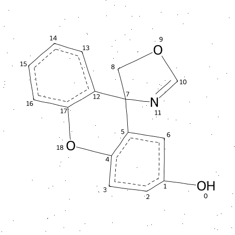 Oc1ccc2c(c1)C1(COC=N1)c1ccccc1O2